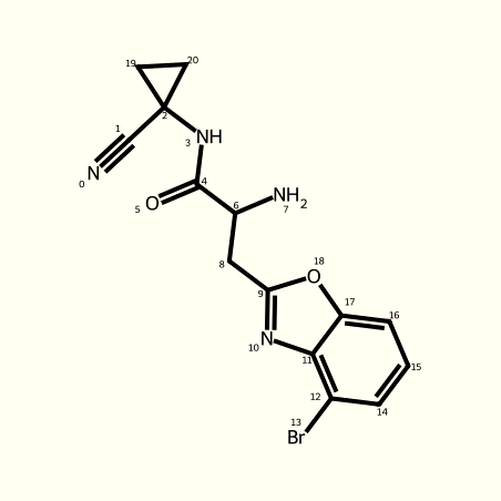 N#CC1(NC(=O)C(N)Cc2nc3c(Br)cccc3o2)CC1